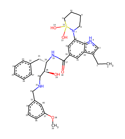 CCc1c[nH]c2c(N3CCCCS3(O)O)cc(C(=O)N[C@@H](Cc3ccccc3)[C@@H](O)CNCc3cccc(OC)c3)cc12